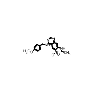 CCNc1cc2ncnc(NCc3ccc(OC)cc3)c2cc1[N+](=O)[O-]